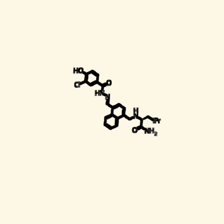 CC(C)C[C@H](NCc1ccc(C=NNC(=O)c2ccc(O)c(Cl)c2)c2ccccc12)C(N)=O